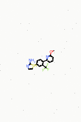 COc1cccc(-c2ccc([SH]3C=CN=C3N)cc2C(F)(F)F)n1